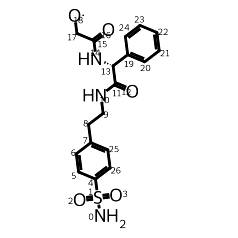 NS(=O)(=O)c1ccc(CCNC(=O)[C@H](NC(=O)C[O])c2ccccc2)cc1